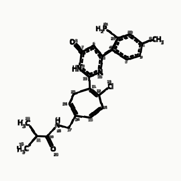 Cc1ccc(-c2cc(=O)[nH]c(C3=C(Cl)C=CC(CNC(=O)C(C)C)=CC3)n2)c(P)c1